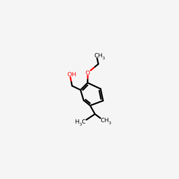 CCOc1ccc(C(C)C)cc1CO